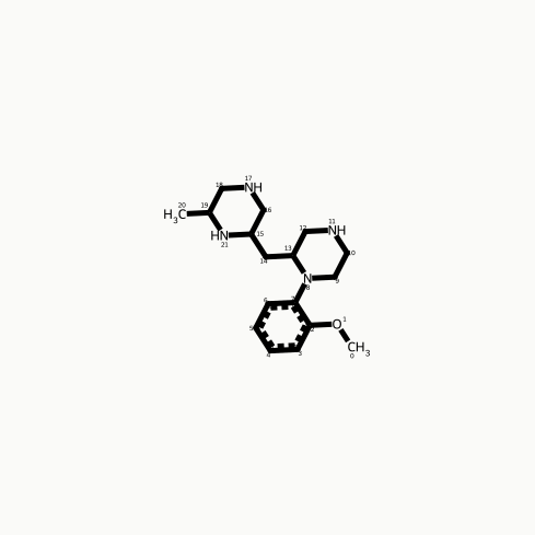 COc1ccccc1N1CCNCC1CC1CNCC(C)N1